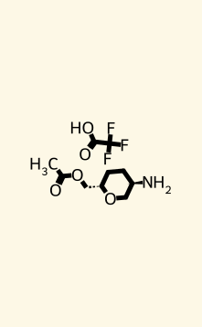 CC(=O)OC[C@@H]1CC[C@@H](N)CO1.O=C(O)C(F)(F)F